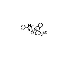 CCOC(=O)C1Cc2ccccc2CN1C(=O)c1sc(-c2ccccc2)nc1C